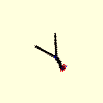 CCCCCCCCCCCCCCCCCCCCCCN(CCCCCCCCCCCCCCCCCCCCCC)c1ccc(-c2ccc(C=Cc3ccc([N+](=O)[O-])c([N+](=O)[O-])c3)cc2)cc1